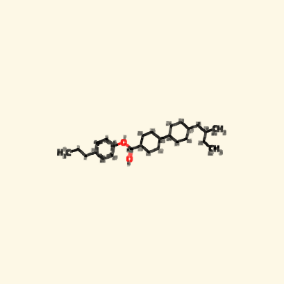 CCCc1ccc(OC(=O)C2CCC(C3CCC(CC(C)CC)CC3)CC2)cc1